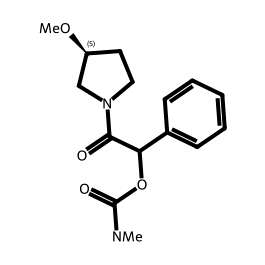 CNC(=O)OC(C(=O)N1CC[C@H](OC)C1)c1ccccc1